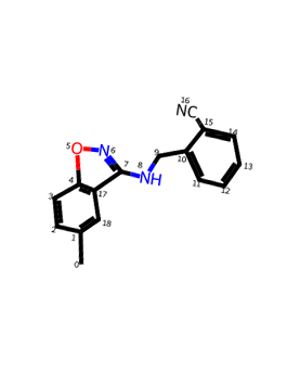 Cc1ccc2onc(NCc3ccccc3C#N)c2c1